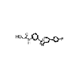 O=C(CO)Nc1cccc(-c2cnc3cc(-c4ccc(F)cc4)ccn23)c1